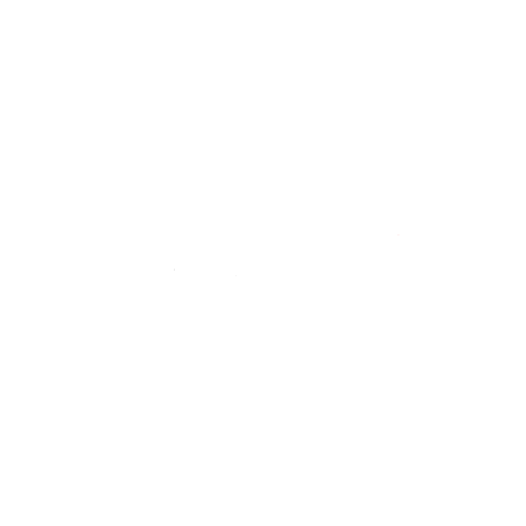 CC1(C)CCC2(C(=O)OC3OC(COC4OC(CO)C(O)C(O)C4O)C(O)C(OC4OC(CO)C(O)C(O)C4O)C3O)CCC3(C)C(=CCC4C5(C)CCC(O)C(C)(C(=O)O)C5CCC43C)C2C1